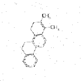 CC1=C(C)c2ccc3c(c2CC1)CCc1ccccc1-3